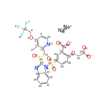 Cc1c(OCC(F)(F)F)ccnc1C[S+]([O-])c1nc2ccccc2n1S(=O)(=O)c1ccc(OCC(=O)[O-])c(C(=O)[O-])c1.[Na+].[Na+]